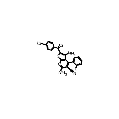 N#Cc1c(N)nc2sc(C(=O)c3ccc(Cl)cc3)c(N)c2c1-c1ccccc1I